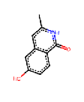 Cc1cc2cc(O)ccc2c(=O)[nH]1